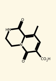 Cc1cc(C(=O)O)c(=O)n2c1C(=O)NCC2